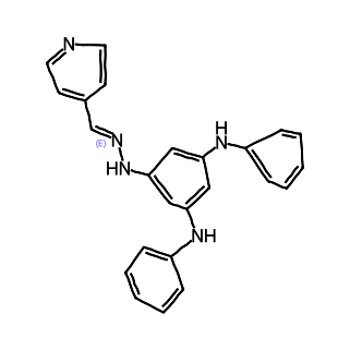 C(=N\Nc1cc(Nc2ccccc2)cc(Nc2ccccc2)c1)/c1ccncc1